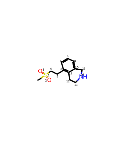 CS(=O)(=O)CCc1cccc2c1CCNC2